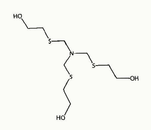 OCCSCN(CSCCO)CSCCO